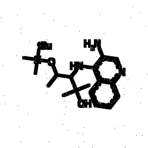 CC(O[Si](C)(C)C(C)(C)C)C(Nc1c(N)cnc2ccccc12)C(C)(C)O